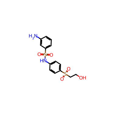 Nc1cccc(S(=O)(=O)Nc2ccc(S(=O)(=O)CCO)cc2)c1